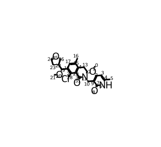 COc1cc(C)[nH]c(=O)c1CN1CCc2c(C)cc([C@@H](OC)[C@H]3CCOC3)c(Cl)c2C1=O